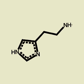 [NH]CCc1c[nH]cn1